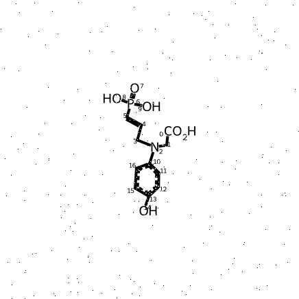 O=C(O)CN(CC=CP(=O)(O)O)c1ccc(O)cc1